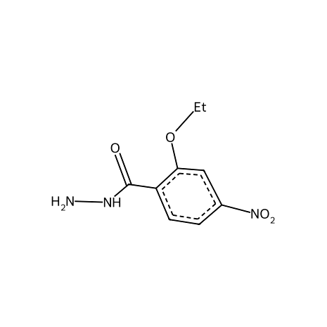 CCOc1cc([N+](=O)[O-])ccc1C(=O)NN